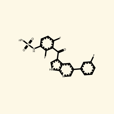 CCCS(=O)(=O)Nc1ccc(F)c(C(=O)c2c[nH]c3ncc(-c4cccc(F)c4)cc23)c1F